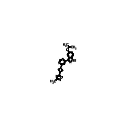 Cc1noc(C2CN(c3cc(-c4n[nH]c5ccc(OC(C)C)cc45)ncn3)C2)n1